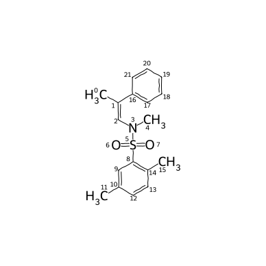 CC(=CN(C)S(=O)(=O)c1cc(C)ccc1C)c1ccccc1